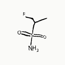 CC(F)S(N)(=O)=O